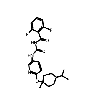 CC(C)C1CCC(C)(Oc2ccc(NC(=O)NC(=O)c3c(F)cccc3F)cn2)CC1